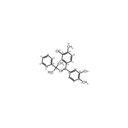 Cc1ccc(B(OC(C)(C)c2ccccn2)c2ccc(C)c(Cl)c2)cc1Cl